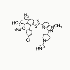 Cc1cc2nc(-c3ccc4c(n3)c(C3CCN(C5CNC5)CC3)nn4C)sc2c(-c2ccc(Cl)cc2)c1[C@H](OC(C)(C)C)C(=O)O